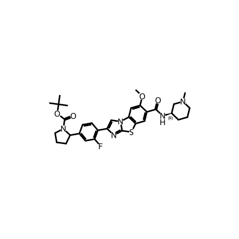 COc1cc2c(cc1C(=O)N[C@@H]1CCCN(C)C1)sc1nc(-c3ccc(C4CCCN4C(=O)OC(C)(C)C)cc3F)cn12